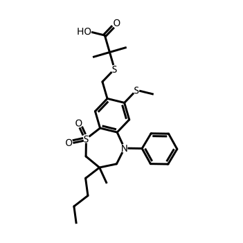 CCCCC1(C)CN(c2ccccc2)c2cc(SC)c(CSC(C)(C)C(=O)O)cc2S(=O)(=O)C1